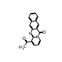 CC(=O)c1cccn2c(=O)c3cc4ccccc4cc3nc12